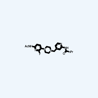 CCCC(=O)Nc1cc(CN2CCN(c3ccc(NC(C)=O)nc3F)CC2)ccn1